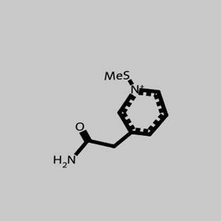 [CH2]S[n+]1cccc(CC(N)=O)c1